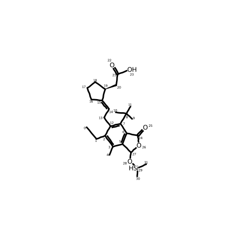 CCc1c(C)c2c(c(C(C)(C)C)c1CC=C1CCC[C@H]1CC(=O)O)C(=O)OC2O[SiH](C)C